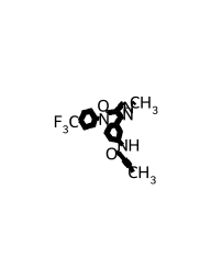 CC#CC(=O)Nc1ccc2c(c1)c1nn(C)cc1c(=O)n2-c1ccc(C(F)(F)F)cc1